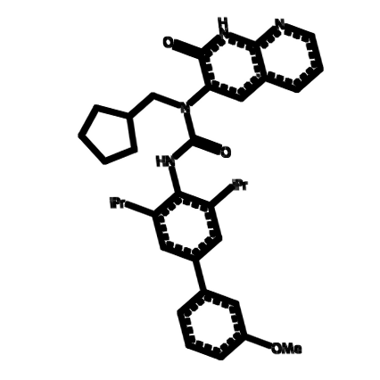 COc1cccc(-c2cc(C(C)C)c(NC(=O)N(CC3CCCC3)c3cc4cccnc4[nH]c3=O)c(C(C)C)c2)c1